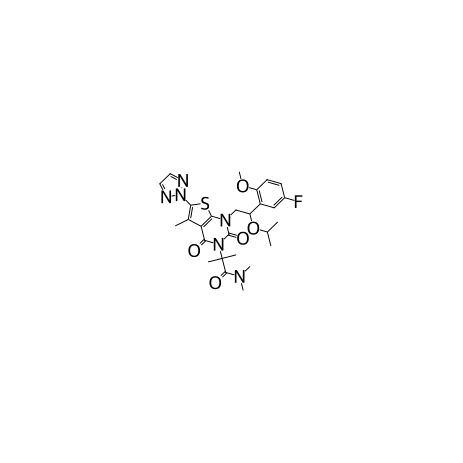 COc1ccc(F)cc1C(Cn1c(=O)n(C(C)(C)C(=O)N(C)C)c(=O)c2c(C)c(-n3nccn3)sc21)OC(C)C